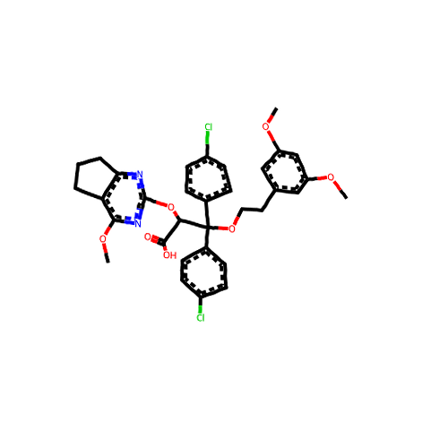 COc1cc(CCOC(c2ccc(Cl)cc2)(c2ccc(Cl)cc2)C(Oc2nc3c(c(OC)n2)CCC3)C(=O)O)cc(OC)c1